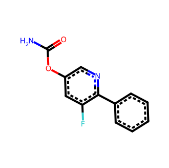 NC(=O)Oc1cnc(-c2ccccc2)c(F)c1